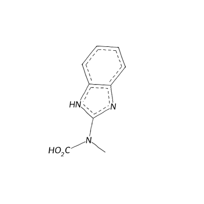 CN(C(=O)O)c1nc2ccccc2[nH]1